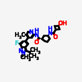 Cc1cnc(NC(=O)[C@H]2CCC[C@@H](NC(=O)C3CC(O)C3)C2)cc1-c1cc(F)c2nn(C)c(C(C)C)c2c1